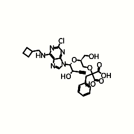 C#C[C@@H](O)[C@@H](O[C@@H](CO)COC(Cc1ccccc1)(C(=O)O)C(=O)O)n1cnc2c(NCC3CCC3)nc(Cl)nc21